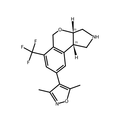 Cc1noc(C)c1-c1cc2c(c(C(F)(F)F)c1)CO[C@@H]1CNC[C@H]21